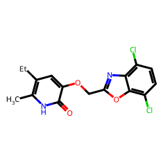 CCc1cc(OCc2nc3c(Cl)ccc(Cl)c3o2)c(=O)[nH]c1C